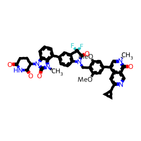 COc1cc(-c2cn(C)c(=O)c3cnc(C4CC4)cc23)cc(OC)c1CN1C(=O)C(F)(F)c2cc(-c3cccc4c3n(C)c(=O)n4C3CCC(=O)NC3=O)ccc21